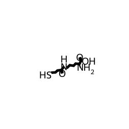 N[C@@H](CCCCNC(=O)CCCS)C(=O)O